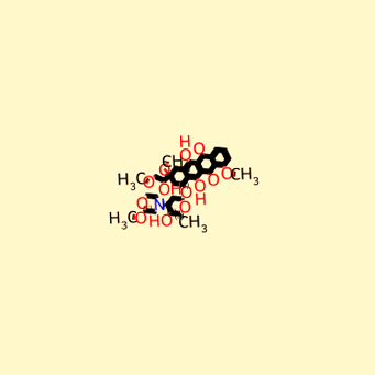 COCC(O)[C@]1(OC)Cc2c(O)c3c(c(O)c2[C@@H](OC2C[C@H](N4CCO[C@H](OC)C4)[C@H](O)[C@H](C)O2)C1)C(=O)c1c(OC)cccc1C3=O